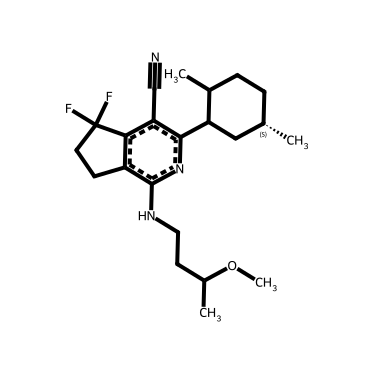 COC(C)CCNc1nc(C2C[C@@H](C)CCC2C)c(C#N)c2c1CCC2(F)F